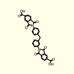 O=C(O)c1ccc2c(c1)C(=O)N(c1ccc(Cc3cccc(N4C(=O)c5ccc(C(=O)O)cc5C4=O)c3)cc1)C2=O